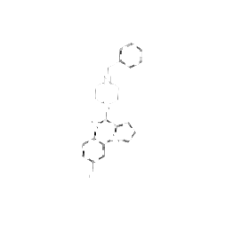 Clc1ccc2nc(N3CCN(Cc4ccccc4)CC3)c3cccn3c2c1